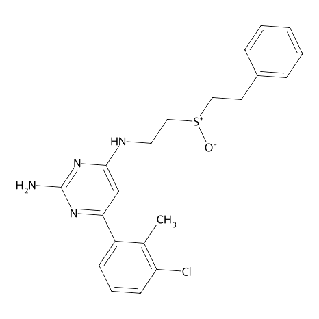 Cc1c(Cl)cccc1-c1cc(NCC[S+]([O-])CCc2ccccc2)nc(N)n1